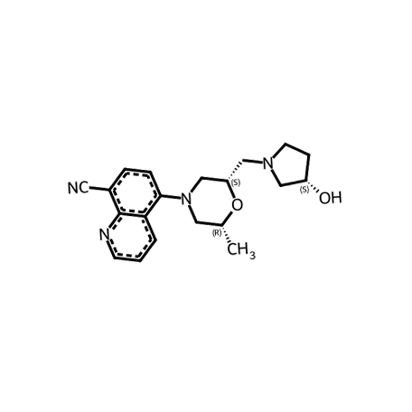 C[C@@H]1CN(c2ccc(C#N)c3ncccc23)C[C@H](CN2CC[C@H](O)C2)O1